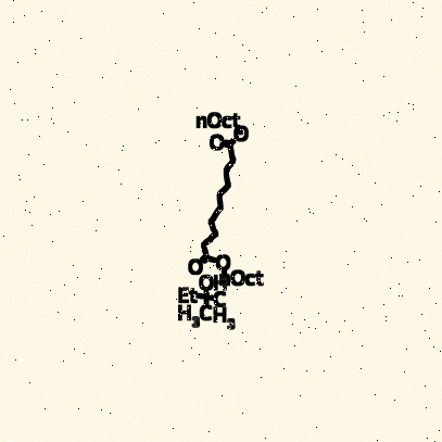 CCC(C)(C)O.CCCCCCCCOC(=O)CCCCCCCCC(=O)OCCCCCCCC